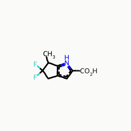 CC1c2[nH]c(C(=O)O)cc2CC1(F)F